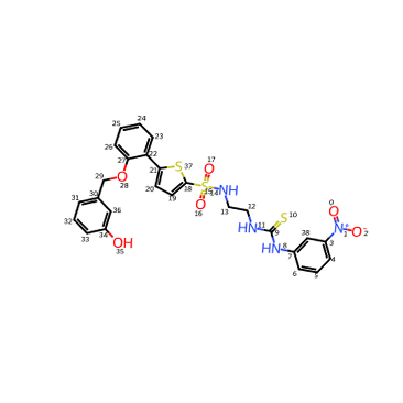 O=[N+]([O-])c1cccc(NC(=S)NCCNS(=O)(=O)c2ccc(-c3ccccc3OCc3cccc(O)c3)s2)c1